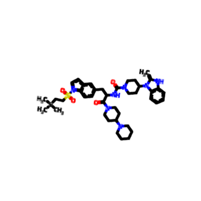 C=C1Nc2ccccc2N1C1CCN(C(=O)NC(Cc2ccc3c(ccn3S(=O)(=O)CC[Si](C)(C)C)c2)C(=O)N2CCC(N3CCCCC3)CC2)CC1